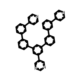 c1cc(-c2ccncc2)cc(-c2cccc(-c3cc(-c4cncnc4)cc(-c4cccc(-c5cccc(-c6ccncc6)c5)c4)c3)c2)c1